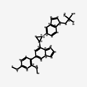 COc1ncc(-c2cc([C@H]3C[C@@H]3c3ccc4c(c3)ncn4CC(F)(F)F)c3nccn3n2)c(OC)n1